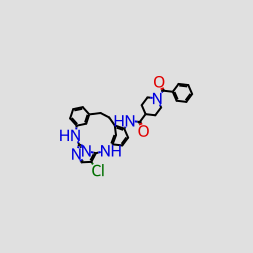 O=C(Nc1ccc2cc1CCc1cccc(c1)Nc1ncc(Cl)c(n1)N2)C1CCN(C(=O)c2ccccc2)CC1